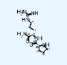 N=C(N)NCCC[C@H](NC(=O)[C@@H]1CCCN1)C(N)=O